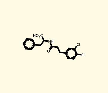 O=C(CCc1ccc(Cl)c(Cl)c1)NC(Cc1ccccc1)C(=O)O